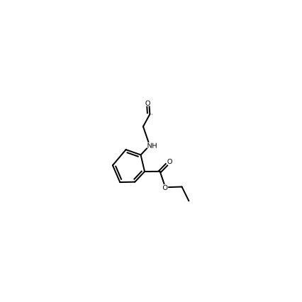 CCOC(=O)c1ccccc1NC[C]=O